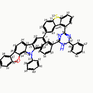 c1ccc(C2=NC(c3cccc4sc5ccc(-c6ccc7c(c6)c6ccc8c9ccccc9oc8c6n7-c6ccccc6)cc5c34)=NC(c3ccccc3)N2)cc1